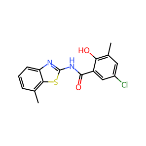 Cc1cc(Cl)cc(C(=O)Nc2nc3cccc(C)c3s2)c1O